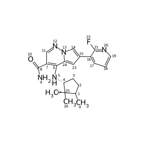 CC1CC[C@@H](Nc2c(C(N)=O)cnn3cc(-c4cccnc4F)cc23)C1(C)C